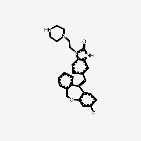 O=c1[nH]c2cc(/C=C3\c4ccccc4COc4cc(F)ccc43)ccc2n1CCN1CCNCC1